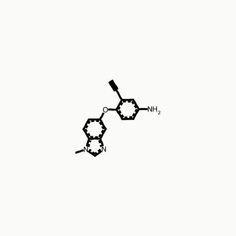 C#Cc1cc(N)ccc1Oc1ccc2c(c1)ncn2C